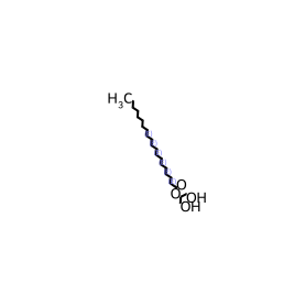 CCCCCCC/C=C/C=C/C=C/C=C/C=C/C=C/C(=O)OC(CO)CO